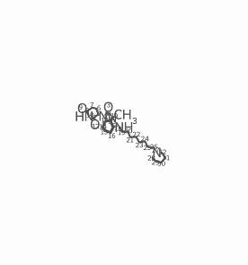 Cn1c(=O)n(C2CCC(=O)NC2=O)c2cccc(NCCCCCCCCN3CCCCC3)c21